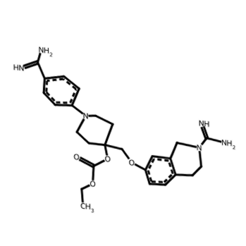 CCOC(=O)OC1(COc2ccc3c(c2)CN(C(=N)N)CC3)CCN(c2ccc(C(=N)N)cc2)CC1